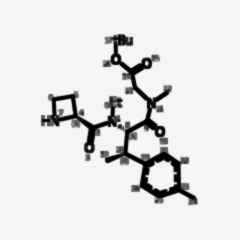 CCN(C(=O)[C@@H]1CCN1)[C@H](C(=O)N(C)CC(=O)OC(C)(C)C)[C@H](C)c1ccc(C)cc1